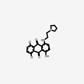 O=C1c2c(O)ccc(NCCN3CCCC3)c2C(=O)c2c(Cl)ccc(Cl)c21